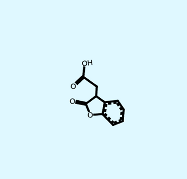 O=C(O)CC1C(=O)Oc2ccccc21